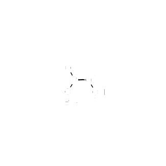 [Ba+2].[O-]B([O-])OO